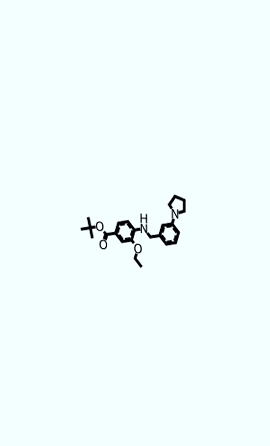 CCOc1cc(C(=O)OC(C)(C)C)ccc1NCc1cccc(N2CCCC2)c1